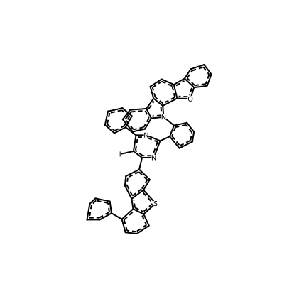 Ic1c(-c2ccccc2)nc(-c2ccccc2-n2c3ccccc3c3ccc4c5ccccc5oc4c32)nc1-c1ccc2c(c1)sc1cccc(-c3ccccc3)c12